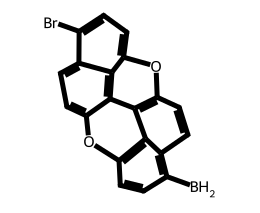 Bc1ccc2oc3ccc4c(Br)ccc5oc6ccc1c2c6-c3c54